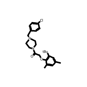 Cc1cc(C)c(OCC(=O)N2CCN(Cc3ccc(Cl)cc3)CC2)c(C(C)(C)C)c1